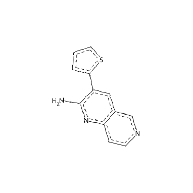 Nc1nc2ccncc2cc1-c1cccs1